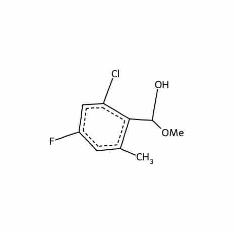 COC(O)c1c(C)cc(F)cc1Cl